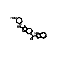 O=C(c1cc2ccccc2[nH]1)N1CCc2nc(N[C@H]3CCC[C@@H](O)C3)sc2C1